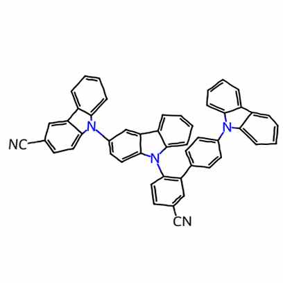 N#Cc1ccc(-n2c3ccccc3c3cc(-n4c5ccccc5c5cc(C#N)ccc54)ccc32)c(-c2ccc(-n3c4ccccc4c4ccccc43)cc2)c1